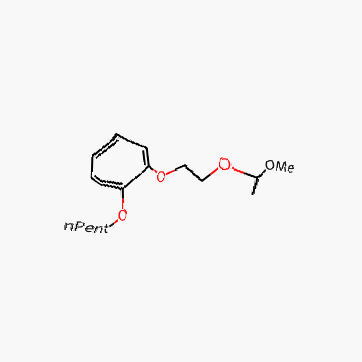 CCCCCOc1ccccc1OCCOC(C)OC